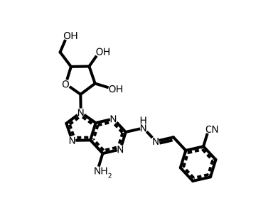 N#Cc1ccccc1/C=N/Nc1nc(N)c2ncn(C3OC(CO)C(O)C3O)c2n1